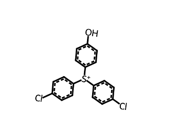 Oc1ccc([S+](c2ccc(Cl)cc2)c2ccc(Cl)cc2)cc1